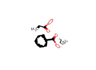 C=CC(=O)[O-].O=C([O-])c1ccccc1.[Zn+2]